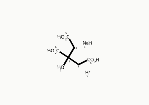 O=C(O)CC(O)(CC(=O)O)C(=O)O.[H+].[NaH]